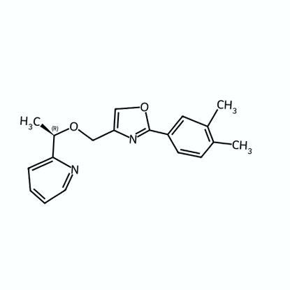 Cc1ccc(-c2nc(CO[C@H](C)c3ccccn3)co2)cc1C